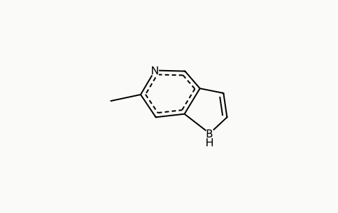 Cc1cc2c(cn1)C=CB2